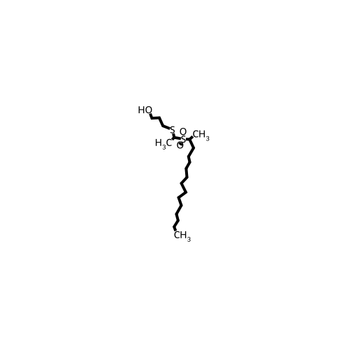 CCCCCCCCCCCCCC(C)S(=O)(=O)C(C)SCCCO